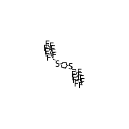 FC(F)(F)C(F)(F)C(F)(F)C(F)(F)CCSc1ccc(SCCC(F)(F)C(F)(F)C(F)(F)C(F)(F)F)cc1